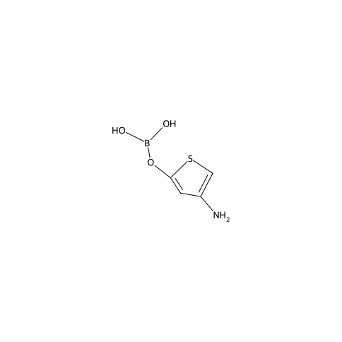 Nc1csc(OB(O)O)c1